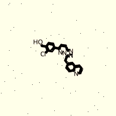 OCc1ccc(-c2ccc3nnc(Cc4ccc5ncccc5c4)n3n2)cc1Cl